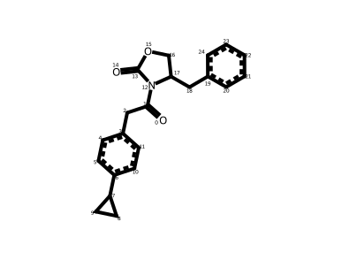 O=C(Cc1ccc(C2CC2)cc1)N1C(=O)OCC1Cc1ccccc1